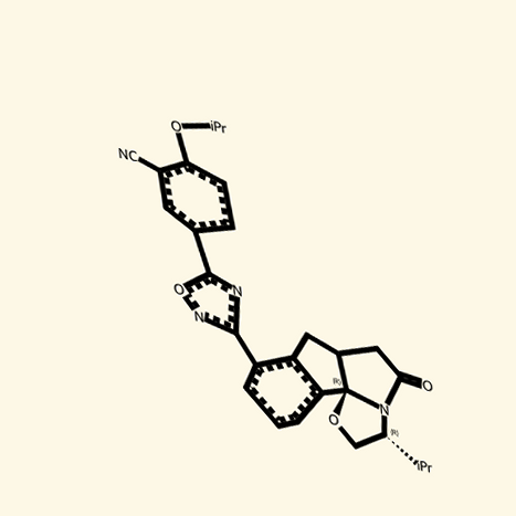 CC(C)Oc1ccc(-c2nc(-c3cccc4c3CC3CC(=O)N5[C@H](C(C)C)CO[C@@]435)no2)cc1C#N